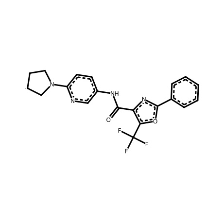 O=C(Nc1ccc(N2C[CH]CC2)nc1)c1nc(-c2ccccc2)oc1C(F)(F)F